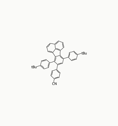 CC(C)(C)c1ccc(-c2cc(-c3ccc(C#N)cc3)c(-c3ccc(C(C)(C)C)cc3)c3c2-c2cccc4cccc-3c24)cc1